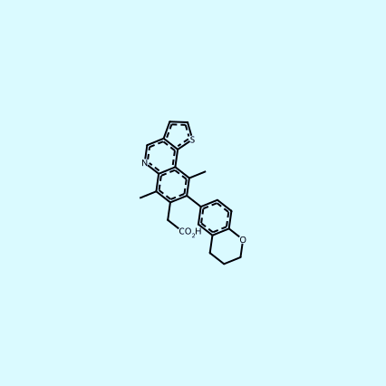 Cc1c(CC(=O)O)c(-c2ccc3c(c2)CCCO3)c(C)c2c1ncc1ccsc12